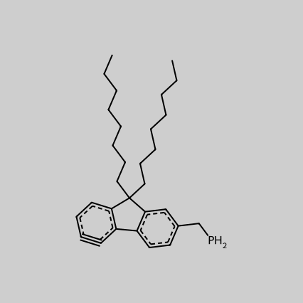 CCCCCCCCC1(CCCCCCCC)c2ccc#cc2-c2ccc(CP)cc21